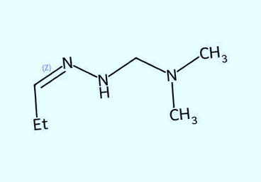 CC/C=N\NCN(C)C